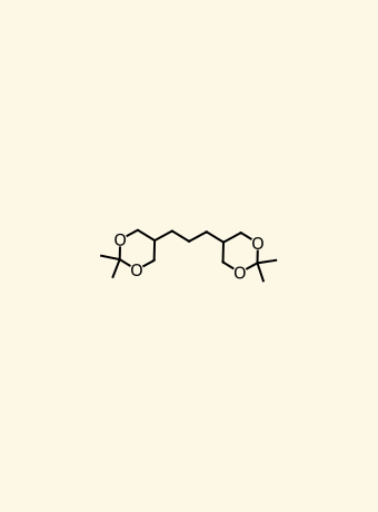 CC1(C)OCC(CCCC2COC(C)(C)OC2)CO1